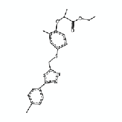 CCOC(=O)C(C)Oc1ccc(SCc2nnc(-c3ccc(C)cc3)s2)cc1C